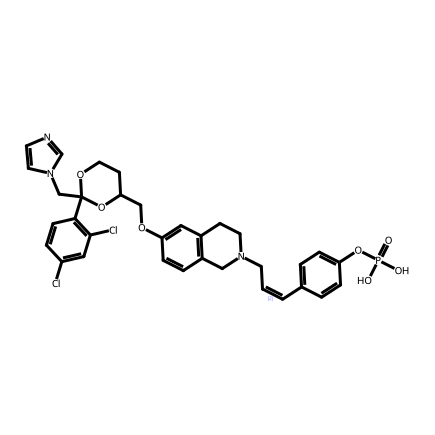 O=P(O)(O)Oc1ccc(/C=C\CN2CCc3cc(OCC4CCOC(Cn5ccnc5)(c5ccc(Cl)cc5Cl)O4)ccc3C2)cc1